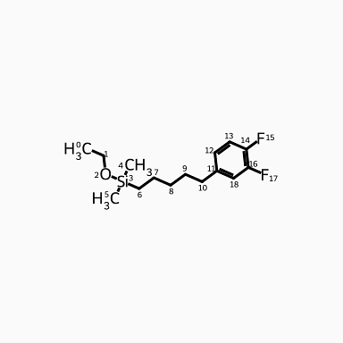 CCO[Si](C)(C)CCCCCc1ccc(F)c(F)c1